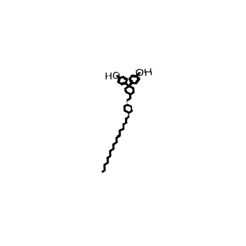 CCCCCCCCCCCCCCCCCC[C@H]1CC[C@H](CCC2CCC(c3ccc(O)cc3)(c3ccc(O)cc3)CC2)CC1